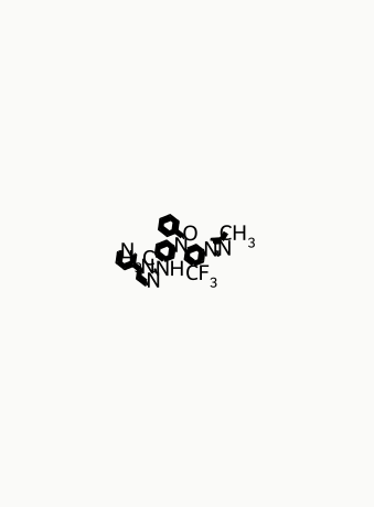 Cc1cn(-c2cc(N(C(=O)c3ccccc3)c3ccc(C)c(Nc4nccc(-c5cccnc5)n4)c3)cc(C(F)(F)F)c2)cn1